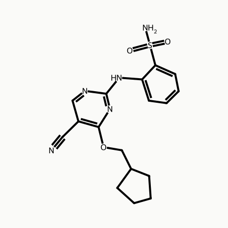 N#Cc1cnc(Nc2ccccc2S(N)(=O)=O)nc1OCC1CCCC1